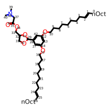 CCCCCCCCC=CCCCCCCCCOc1cc(OCCCCCCCCC=CCCCCCCCC)cc(C2OCC(COC(=O)CN(C)C)O2)c1